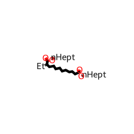 CCCCCCCOC(=O)CCCCCCCCCC(CC)C(=O)OCCCCCCC